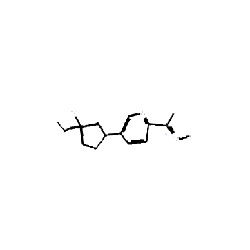 C/N=C(\C)c1ccc(C2CCC(N)(CO)C2)cn1